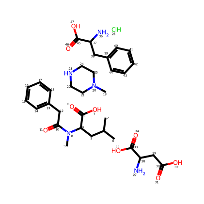 CC(C)CC(C(=O)O)N(C)C(=O)Cc1ccccc1.CN1CCNCC1.Cl.NC(CC(=O)O)C(=O)O.NC(Cc1ccccc1)C(=O)O